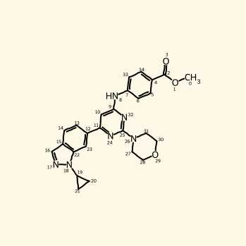 COC(=O)c1ccc(Nc2cc(-c3ccc4cnn(C5CC5)c4c3)nc(N3CCOCC3)n2)cc1